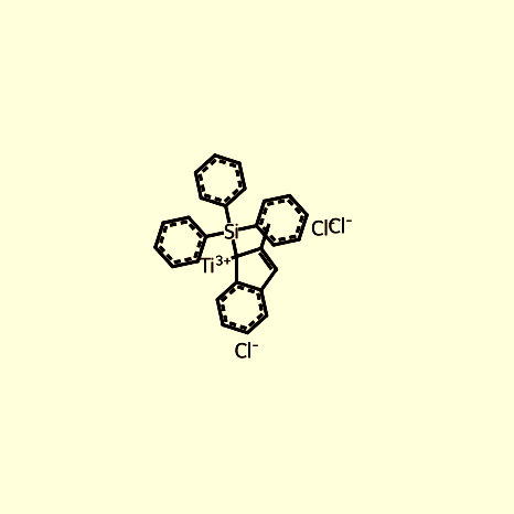 CC1=Cc2ccccc2[C]1([Ti+3])[Si](c1ccccc1)(c1ccccc1)c1ccccc1.[Cl-].[Cl-].[Cl-]